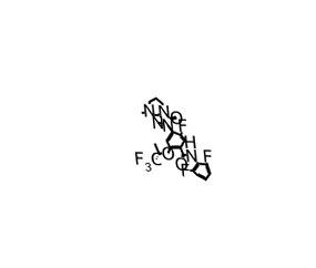 C[C@H](Oc1cc(-n2nc3n(c2=O)CCCN3C)c(F)cc1C(=O)Nc1c(F)cccc1F)C(F)(F)F